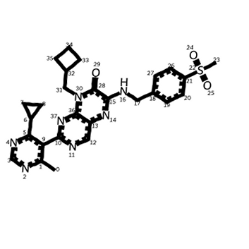 Cc1ncnc(C2CC2)c1-c1ncc2nc(NCc3ccc(S(C)(=O)=O)cc3)c(=O)n(CC3CCC3)c2n1